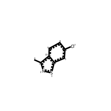 Cc1nsc2cc(Cl)ccc12